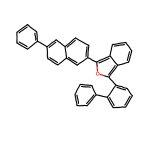 c1ccc(-c2ccc3cc(-c4oc(-c5ccccc5-c5ccccc5)c5ccccc45)ccc3c2)cc1